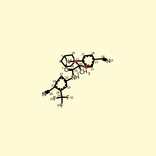 CC(O)(CN1C2CC1CN(c1ccc(C#N)cc1)C2)C(=O)Nc1ccc(C#N)c(C(F)(F)F)c1